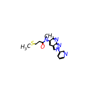 CSCCC(=O)N(C)c1cnc2nn(-c3cccnc3)cc2c1